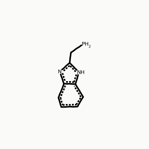 PCc1nc2ccccc2[nH]1